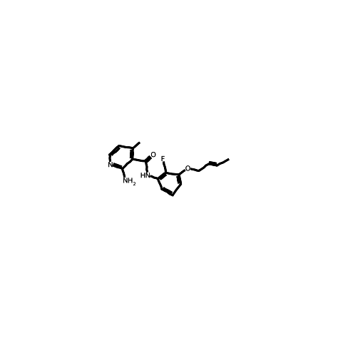 CC=CCOc1cccc(NC(=O)c2c(C)ccnc2N)c1F